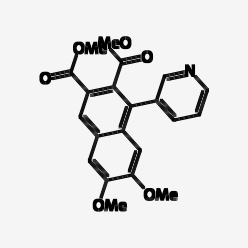 COC(=O)c1cc2cc(OC)c(OC)cc2c(-c2cccnc2)c1C(=O)OC